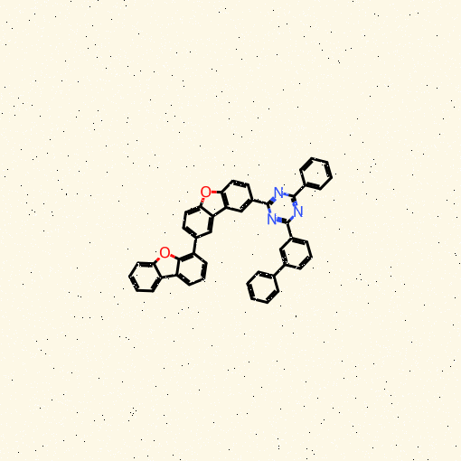 c1ccc(-c2cccc(-c3nc(-c4ccccc4)nc(-c4ccc5oc6ccc(-c7cccc8c7oc7ccccc78)cc6c5c4)n3)c2)cc1